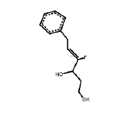 OCCC(O)/C(F)=C/Cc1ccccc1